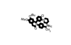 CC[C@@H](C)Oc1cc2c(cc1OC)CC(=O)N(c1ccc([C@@H](C)N(C(C)=O)[C@@H]3CCCNC3)cc1)C2c1ccc(Cl)cc1